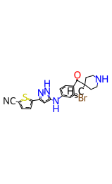 CC1(C(=O)c2ccc(Nc3cc(-c4ccc(C#N)s4)n[nH]3)cc2Br)CCNCC1